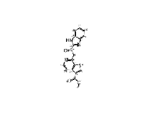 COC(=O)c1csc2c(C[S+]([O-])c3nc4ccccc4[nH]3)nccc12